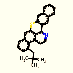 CC(C)(C)Cc1cccc2cc3c4c(nccc4c12)-c1cc2ccccc2cc1S3